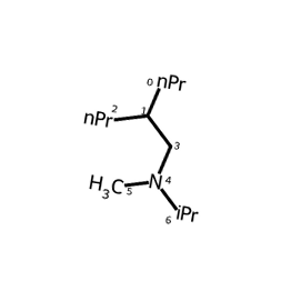 CCCC(CCC)CN(C)C(C)C